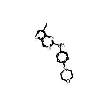 Ic1csc2cnc(Nc3ccc(N4CCOCC4)cc3)nc12